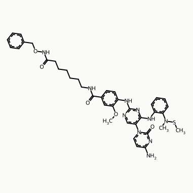 COc1cc(C(=O)NCCCCCCC(=O)NOCc2ccccc2)ccc1Nc1ncc(-n2ccc(N)nc2=O)c(Nc2ccccc2N(C)SC)n1